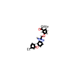 CCc1cccc(Oc2ccc3nc(COc4cccc(C(=O)OC)c4)n(C)c3c2)c1